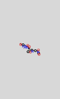 COc1ccc(CNC(=O)NC(=O)C(C)(C)[C@H]2c3ccccc3Oc3nc(-c4ccc(C(=O)N5CCOCC5)cc4)ccc32)cc1